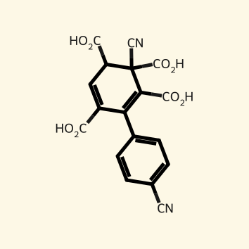 N#Cc1ccc(C2=C(C(=O)O)C(C#N)(C(=O)O)C(C(=O)O)C=C2C(=O)O)cc1